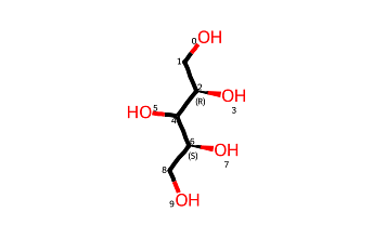 OC[C@@H](O)C(O)[C@@H](O)CO